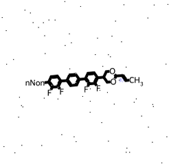 C/C=C/C1OCC(c2ccc(-c3ccc(-c4ccc(CCCCCCCCC)c(F)c4F)cc3)c(F)c2F)CO1